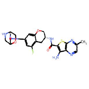 Cc1cnc2c(N)c(C(=O)N[C@H]3COc4cc(N5CC6COC(CN6)C5)cc(F)c4C3)sc2n1